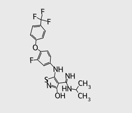 CC(C)NC(=N)c1c(O)nsc1Nc1ccc(Oc2ccc(C(F)(F)F)cc2)c(F)c1